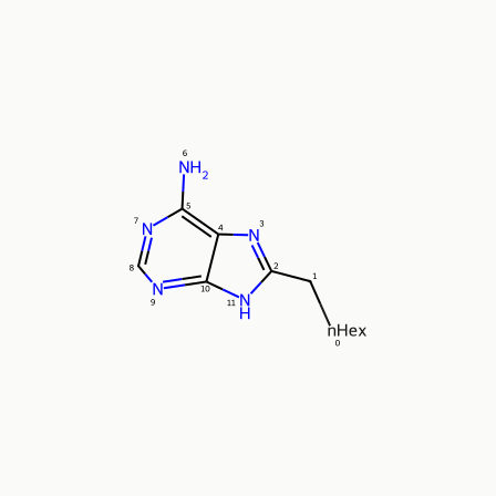 CCCCCCCc1nc2c(N)ncnc2[nH]1